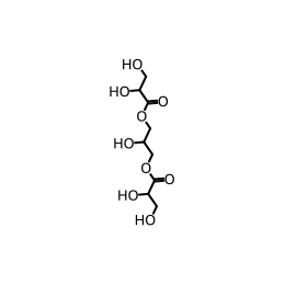 O=C(OCC(O)COC(=O)C(O)CO)C(O)CO